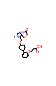 O=C(O)CCOc1ccccc1C1CCC(OCC2NCCC23COCC(=O)N3)CC1